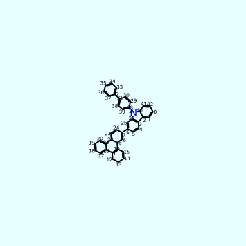 C1=CC2c3ccc(C4=CC5C6=C(CCC=C6)c6ccccc6C5C=C4)cc3N(c3ccc(-c4ccccc4)cc3)C2C=C1